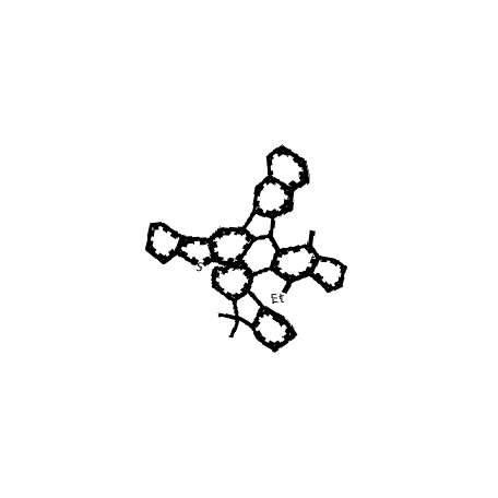 CCc1c(-c2cccc3c2-c2ccccc2C3(C)C)c(C2c3cc4ccccc4cc3-c3cc4c(cc32)sc2ccccc24)c(C)c2ccccc12